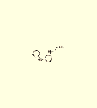 CCCNc1cccc(Nc2ccccc2)c1